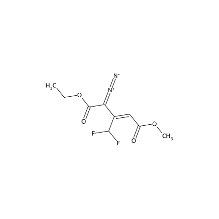 CCOC(=O)C(=[N+]=[N-])/C(=C/C(=O)OC)C(F)F